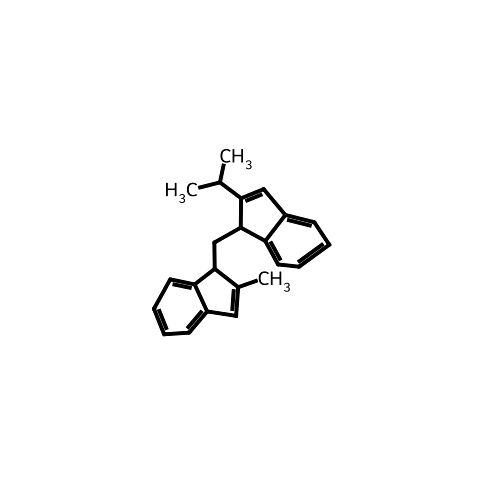 CC1=Cc2ccccc2C1CC1C(C(C)C)=Cc2ccccc21